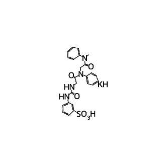 CN(C(=O)CN(C(=O)CNC(=O)Nc1cccc(S(=O)(=O)O)c1)c1ccccc1)c1ccccc1.[KH]